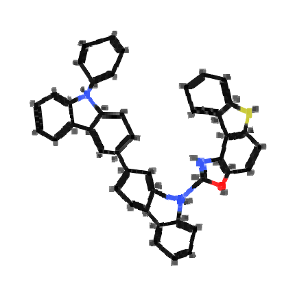 c1ccc(-n2c3ccccc3c3cc(-c4ccc5c6ccccc6n(-c6nc7c(ccc8sc9ccccc9c87)o6)c5c4)ccc32)cc1